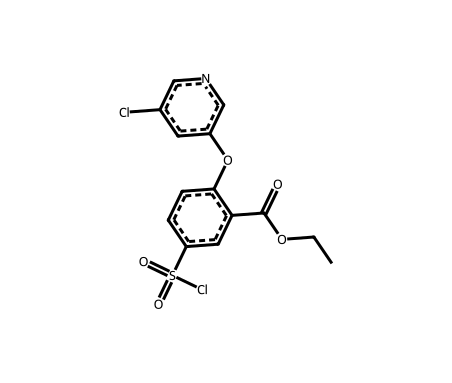 CCOC(=O)c1cc(S(=O)(=O)Cl)ccc1Oc1cncc(Cl)c1